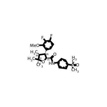 COc1c([C@@H]2[C@@H](C(=O)Nc3ccc(P(C)(C)=O)cc3)O[C@](C)(C(F)(F)F)[C@@H]2C)ccc(F)c1F